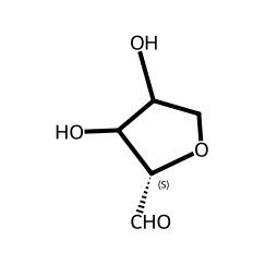 O=C[C@H]1OCC(O)C1O